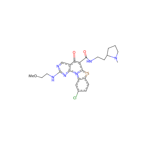 COCCNc1ncc2c(=O)c(C(=O)NCCC3CCCN3C)c3sc4ccc(Cl)cc4n3c2n1